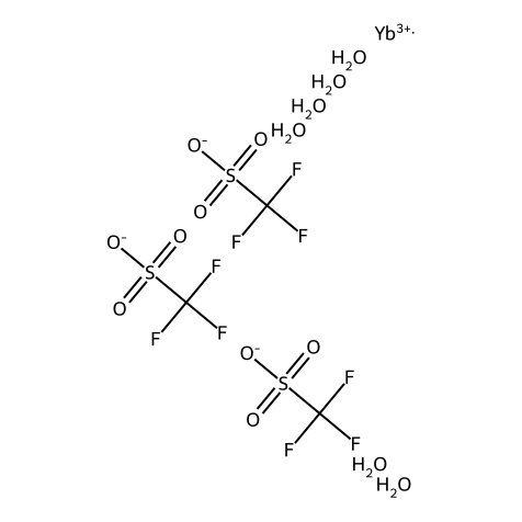 O.O.O.O.O.O.O=S(=O)([O-])C(F)(F)F.O=S(=O)([O-])C(F)(F)F.O=S(=O)([O-])C(F)(F)F.[Yb+3]